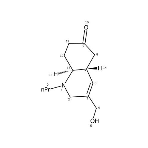 CCCN1CC(CO)=C[C@H]2CC(=O)CC[C@@H]21